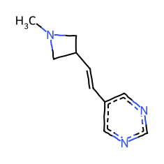 CN1CC(/C=C/c2cncnc2)C1